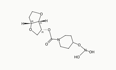 O=C(O[C@@H]1CO[C@@H]2CCO[C@@H]21)N1CCC(ON(O)O)CC1